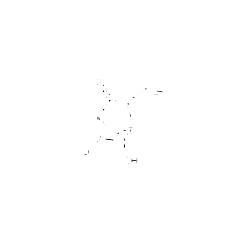 C=CN1C(=O)C2CC1C(O)C2O